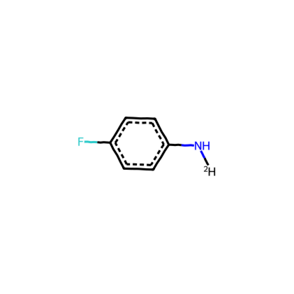 [2H]Nc1ccc(F)cc1